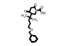 CC(C)(CCCOCc1ccccc1)C1CN(C(=O)O)C(=O)CC1=O